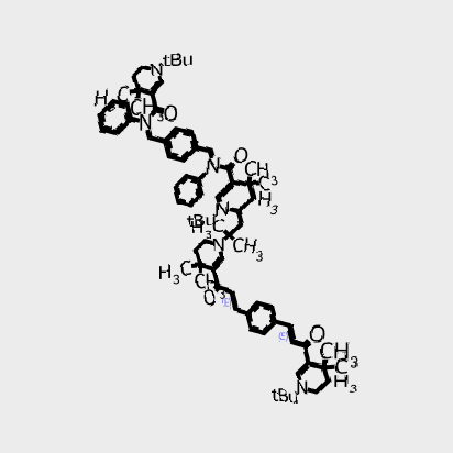 CC1(C)CCN(C(C)(C)C)C=C1C(=O)/C=C/c1ccc(/C=C/C(=O)C2=CN(C(C)(C)CC3CC(C)(C)C(C(=O)N(Cc4ccc(CN(C(=O)C5=CN(C(C)(C)C)CCC5(C)C)c5ccccc5)cc4)c4ccccc4)=CN3C(C)(C)C)CCC2(C)C)cc1